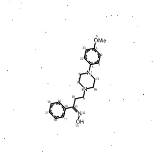 COc1ccc(N2CCN(CCC(=NO)c3ccccc3)CC2)cc1